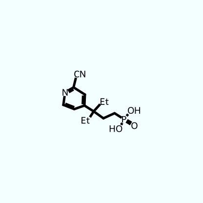 CCC(CC)(CCP(=O)(O)O)c1ccnc(C#N)c1